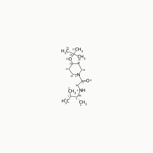 CC(C)[C@@H](C)NCC(=O)N1CCC(OC(C)(C)C)CC1